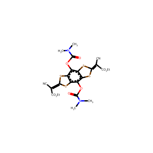 CCOC(=O)C(C#N)=C1Sc2c(OC(=O)N(C)C)c3c(c(OC(=O)N(C)C)c2S1)SC(=C(C#N)C(=O)OCC)S3